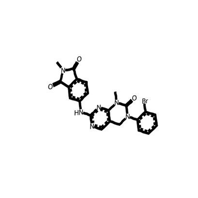 CN1C(=O)c2ccc(Nc3ncc4c(n3)N(C)C(=O)N(c3ccccc3Br)C4)cc2C1=O